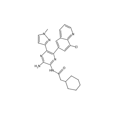 Cn1ccc(-c2nc(N)c(NC(=O)CC3CCCCC3)nc2-c2cc(Cl)c3ncccc3c2)n1